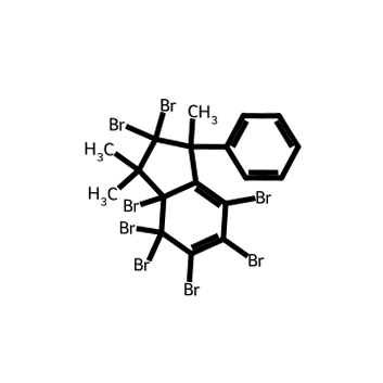 CC1(c2ccccc2)C2=C(Br)C(Br)=C(Br)C(Br)(Br)C2(Br)C(C)(C)C1(Br)Br